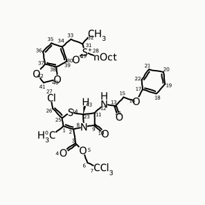 CC1=C(C(=O)OCC(Cl)(Cl)Cl)N2C(=O)C(NC(=O)COc3ccccc3)[C@H]2S/C1=C\Cl.CCCCCCCC[S+]([O-])C(C)Cc1ccc2c(c1)OCO2